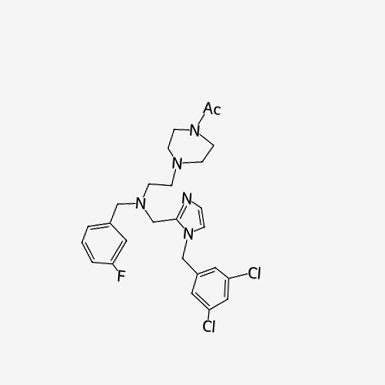 CC(=O)N1CCN(CCN(Cc2cccc(F)c2)Cc2nccn2Cc2cc(Cl)cc(Cl)c2)CC1